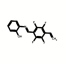 C=Cc1c(F)c(F)c(C=Nc2ccccc2O)c(F)c1F